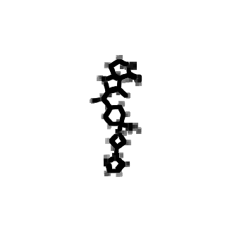 Cc1c([C@H](C)C2CCC(N)(N3CC(n4cccn4)C3)CC2)sc2c1C(=O)NCC2